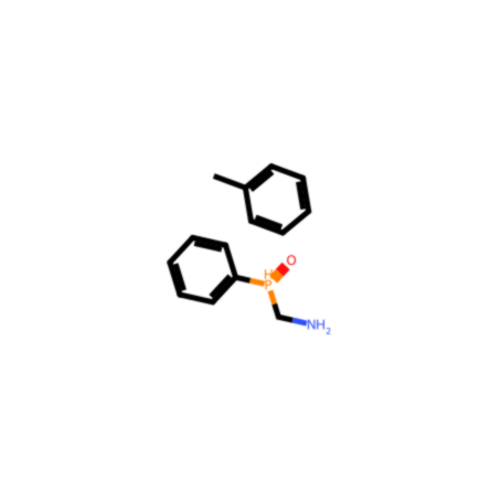 Cc1ccccc1.NC[PH](=O)c1ccccc1